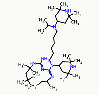 CCC(C)/N=C(\N=C(/N)NC(C)(C)CC(C)(C)C)N(CCCCCCN(C(C)C)C1CC(C)(C)NC(C)(C)C1)C1CC(C)(C)NC(C)(C)C1